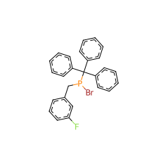 Fc1cccc(CP(Br)C(c2ccccc2)(c2ccccc2)c2ccccc2)c1